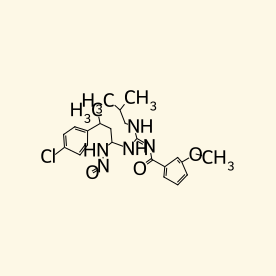 COc1cccc(C(=O)/N=C(/NCC(C)C)NC(CC(C)c2ccc(Cl)cc2)NN=O)c1